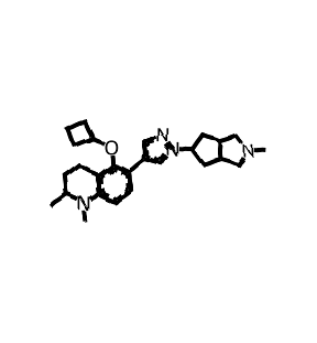 CC1CCc2c(ccc(-c3cnn(C4CC5CN(C)CC5C4)c3)c2OC2CCC2)N1C